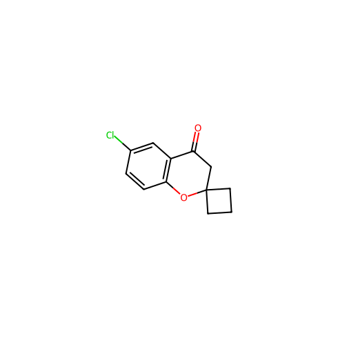 O=C1CC2(CCC2)Oc2ccc(Cl)cc21